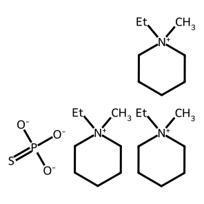 CC[N+]1(C)CCCCC1.CC[N+]1(C)CCCCC1.CC[N+]1(C)CCCCC1.[O-]P([O-])([O-])=S